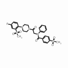 CS(=O)(=O)c1ccc(C(=O)N(CC(=O)N2CCN(c3ccc(F)cc3S(C)(=O)=O)CC2)c2ccccc2)cc1